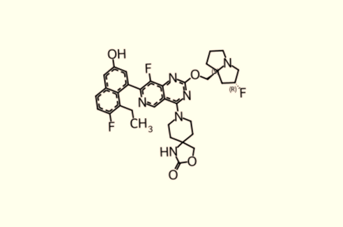 CCc1c(F)ccc2cc(O)cc(-c3ncc4c(N5CCC6(CC5)COC(=O)N6)nc(OC[C@@]56CCCN5C[C@H](F)C6)nc4c3F)c12